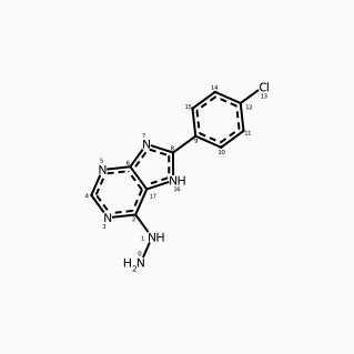 NNc1ncnc2nc(-c3ccc(Cl)cc3)[nH]c12